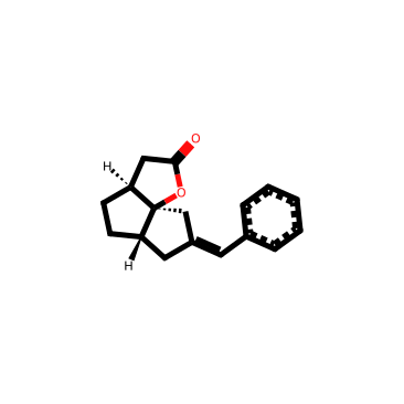 O=C1C[C@@H]2CC[C@H]3C/C(=C/c4ccccc4)C[C@@]23O1